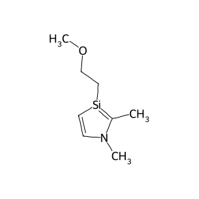 COCC[si]1ccn(C)c1C